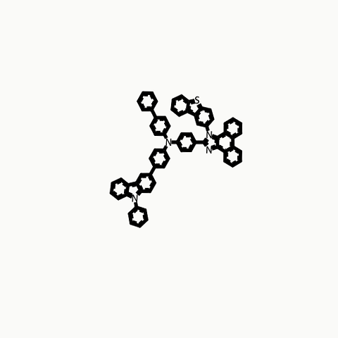 c1ccc(-c2ccc(N(c3ccc(-c4ccc5c(c4)c4ccccc4n5-c4ccccc4)cc3)c3ccc(-c4nc5c6ccccc6c6ccccc6c5n4-c4ccc5sc6ccccc6c5c4)cc3)cc2)cc1